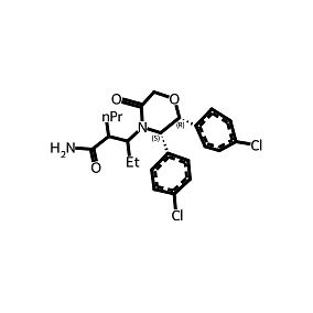 CCCC(C(N)=O)C(CC)N1C(=O)CO[C@H](c2ccc(Cl)cc2)[C@@H]1c1ccc(Cl)cc1